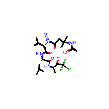 CC(=O)NC(C)(C)CC(=O)N[C@H](C(=O)N[C@@H](CC(C)C)C(=O)NC(C)C(=O)C(F)(F)F)C(C)C